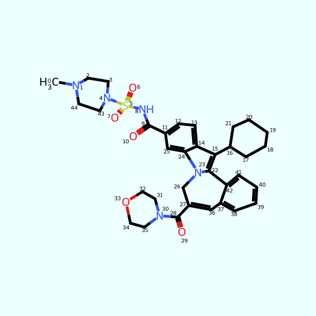 CN1CCN(S(=O)(=O)NC(=O)c2ccc3c(C4CCCCC4)c4n(c3c2)CC(C(=O)N2CCOCC2)=Cc2ccccc2-4)CC1